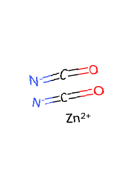 [N-]=C=O.[N-]=C=O.[Zn+2]